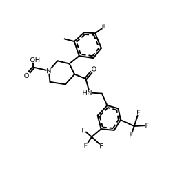 Cc1cc(F)ccc1C1CN(C(=O)O)CCC1C(=O)NCc1cc(C(F)(F)F)cc(C(F)(F)F)c1